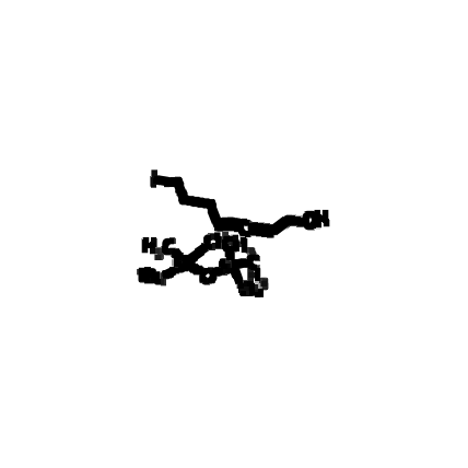 CC(C)(C)[Si](C)(C)O[Si](C)(C)C(C)(C)C.OCC=C=CCCCI